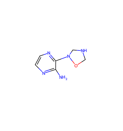 Nc1nccnc1N1CNCO1